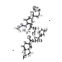 C[C@H](NC(=O)[C@@H]1C[C@@H](F)CN1C(=O)CNC(=O)c1ccc2cc(F)ccc2n1)c1cc(C2=CCCN(C)C2)ccc1/C=C/C1CC1